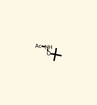 CC(=O)NOC(C)(C)C